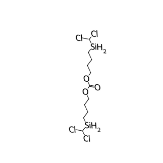 O=C(OCCCC[SiH2]C(Cl)Cl)OCCCC[SiH2]C(Cl)Cl